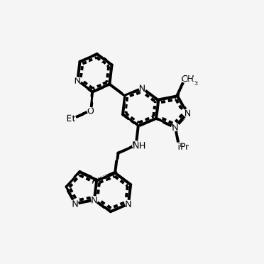 CCOc1ncccc1-c1cc(NCc2cncn3nccc23)c2c(n1)c(C)nn2C(C)C